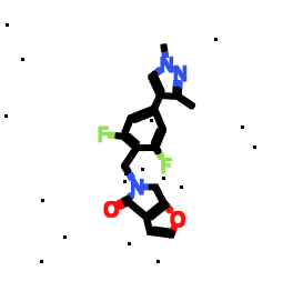 Cc1nn(C)cc1-c1cc(F)c(CN2Cc3occc3C2=O)c(F)c1